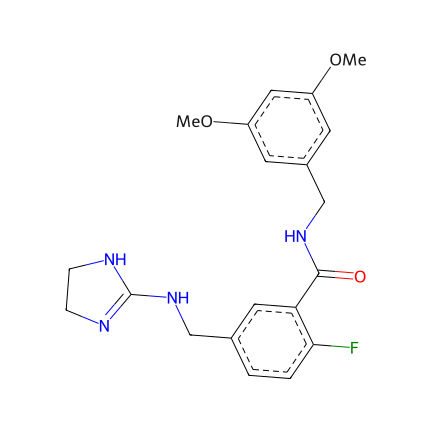 COc1cc(CNC(=O)c2cc(CNC3=NCCN3)ccc2F)cc(OC)c1